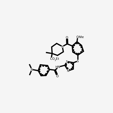 CCOC(=O)C1(C)CCN(C(=O)c2cc(Sc3cnc(NC(=O)c4ccc(N(C)C)cc4)s3)ccc2OC)CC1